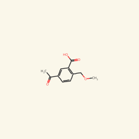 COCc1ccc(C(C)=O)cc1C(=O)O